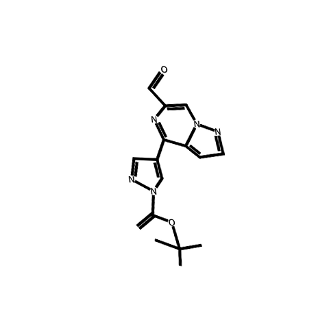 C=C(OC(C)(C)C)n1cc(-c2nc(C=O)cn3nccc23)cn1